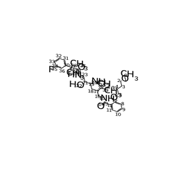 COCCCCOc1ccccc1C(=O)NC[C@@H](C[C@H](N)[C@@H](O)CNC(=O)C(C)(C)c1cccc(F)c1)C(C)C